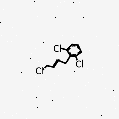 ClCC=CCc1c(Cl)cccc1Cl